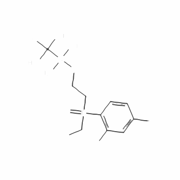 CCP(=O)(CCO[Si](C)(C)C(C)(C)C)c1ccc(Br)cc1F